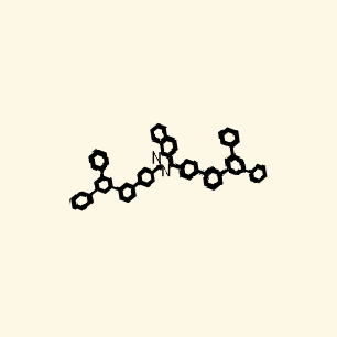 c1ccc(-c2cc(-c3ccccc3)cc(-c3cccc(-c4ccc(-c5nc(-c6ccc(-c7cccc(-c8cc(-c9ccccc9)cc(-c9ccccc9)c8)c7)cc6)c6ccc7ccccc7c6n5)cc4)c3)c2)cc1